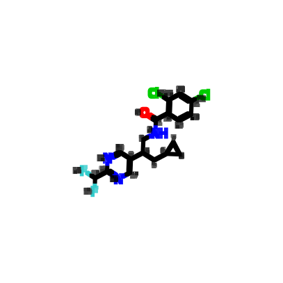 O=C(NCC(CC1CC1)c1cnc(C(F)F)nc1)c1ccc(Cl)cc1Cl